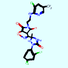 CC1(C2=NOC3C(=O)N(CCNc4ncc(C(F)(F)F)cc4Cl)C(=O)C23)NC(=O)N(c2ccc(Cl)cc2Cl)N1